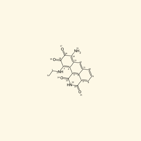 CCNC1=c2c3c4c(cccc4cc2=C(N)C(=O)C1=O)C(=O)NC3=O